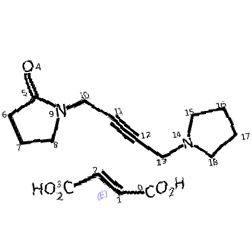 O=C(O)/C=C/C(=O)O.O=C1CCCN1CC#CCN1CCCC1